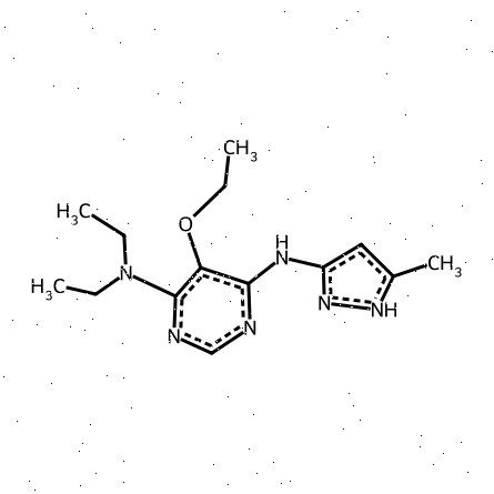 CCOc1c(Nc2cc(C)[nH]n2)ncnc1N(CC)CC